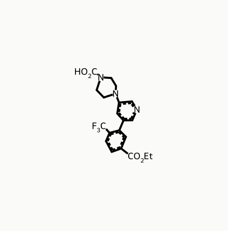 CCOC(=O)c1ccc(C(F)(F)F)c(-c2cncc(N3CCN(C(=O)O)CC3)c2)c1